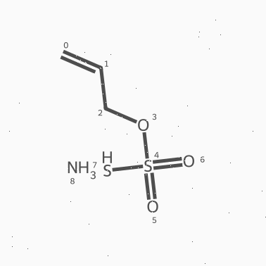 C=CCOS(=O)(=O)S.N